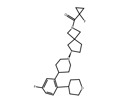 O=C(N1CC2(CC[C@@H](N3CCC(c4cc(F)ccc4C4CCOCC4)CC3)C2)C1)C1(F)CC1